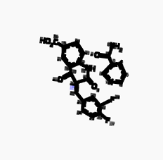 NC(=O)c1cccnc1.O=C1Nc2ccc(C(=O)O)cc2C(=O)/C1=C/c1ccc(F)c(F)c1